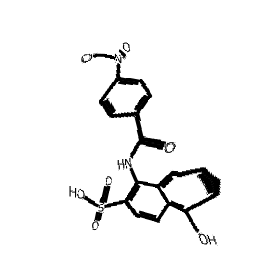 O=C(Nc1c(S(=O)(=O)O)ccc2c(O)cccc12)c1ccc([N+](=O)[O-])cc1